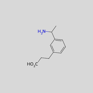 CC(N)c1cccc(CCC(=O)O)c1